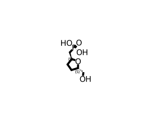 O=P(O)(O)C[C@@H]1CC[C@@H](CO)O1